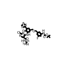 [2H]C([2H])([2H])NC(=O)c1cnc(Cl)nc1Nc1cc(COCc2cc(F)cc(NC(=O)OC(C)(C)C)c2)cc(-c2ncn(C)n2)c1OC